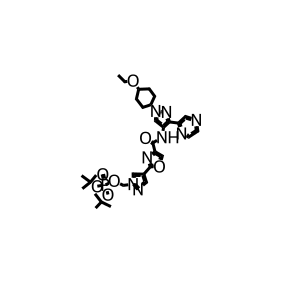 CCOC1CCC(n2cc(NC(=O)c3coc(-c4cnn(COP(=O)(OC(C)(C)C)OC(C)(C)C)c4)n3)c(-c3cnccn3)n2)CC1